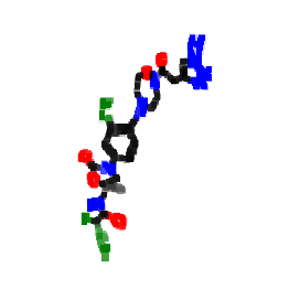 O=C(NC[C@H]1CN(c2ccc(N3CCON(C(=O)Cc4c[nH]nn4)CC3)c(F)c2)C(=O)O1)C(F)F